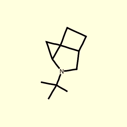 CC(C)(C)N1CC2CCC23CC13